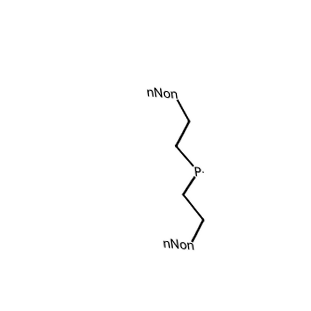 CCCCCCCCCCC[P]CCCCCCCCCCC